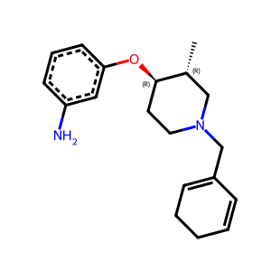 C[C@@H]1CN(CC2=CCCC=C2)CC[C@H]1Oc1cccc(N)c1